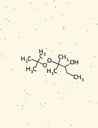 CCC(O)C(C)(C)OOC(C)(C)C